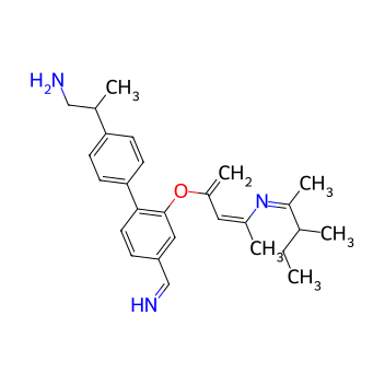 C=C(/C=C(C)\N=C(\C)C(C)CC)Oc1cc(C=N)ccc1-c1ccc(C(C)CN)cc1